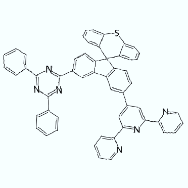 c1ccc(-c2nc(-c3ccccc3)nc(-c3ccc4c(c3)-c3cc(-c5cc(-c6ccccn6)nc(-c6ccccn6)c5)ccc3C43c4ccccc4Sc4ccccc43)n2)cc1